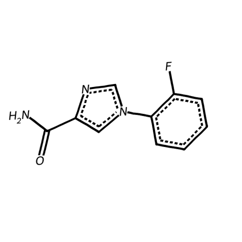 NC(=O)c1cn(-c2ccccc2F)cn1